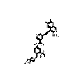 Cc1nc2cnc(N)c(C#Cc3cncc(C(=O)Nc4ccc(CN5CC6(CN(C)C6)C5)c(C(F)(F)F)c4)c3)c2nc1C